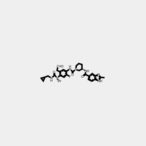 Cc1nc2cc(C(=O)N[C@@H]3CCCN(C(=O)Nc4cc(CC=O)c(N(C(=O)NCC5CC5)C(C)C)cc4F)C3)ccc2[nH]1